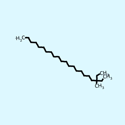 [CH2]CCCCCCCCCCCCCCCCCCC(C)(CC)CC